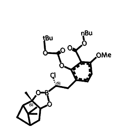 CCCCOC(=O)c1c(OC)ccc(C[C@@H](Cl)B2OC3CC4CC(C4(C)C)[C@]3(C)O2)c1OC(=O)OC(C)(C)C